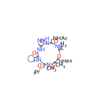 CCCCCC[C@H]1OC[C@@H](C)NC(=O)[C@H](CNC(C)=O)NC(=O)[C@H](CN)NC(=O)[C@H](C2CCCCC2)NC(=O)[C@H](CCC(C)C)N(C)C(=O)[C@@H]1C